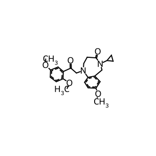 COc1ccc2c(c1)CN(C1CC1)C(=O)CCN2CC(=O)c1cc(OC)ccc1OC